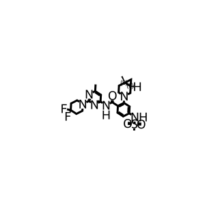 Cc1cc(NC(=O)c2ccc(NS(C)(=O)=O)cc2N2CC[C@]3(C)C[C@@H]3C2)nc(N2CCC(F)(F)CC2)n1